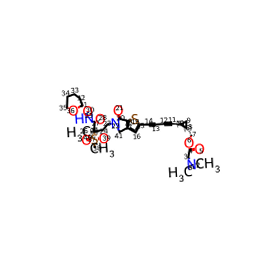 CN(C)CC(=O)OC[C@H]1C[C@@H]1C#CC#Cc1cc2c(s1)C(=O)N(CC[C@](C)(C(=O)NOC1CCCCO1)S(C)(=O)=O)C2